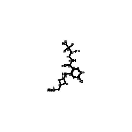 COCC1CC(Nc2cc(Cl)ncc2C(=O)NC[C@@H](F)C(C)(C)O)C1